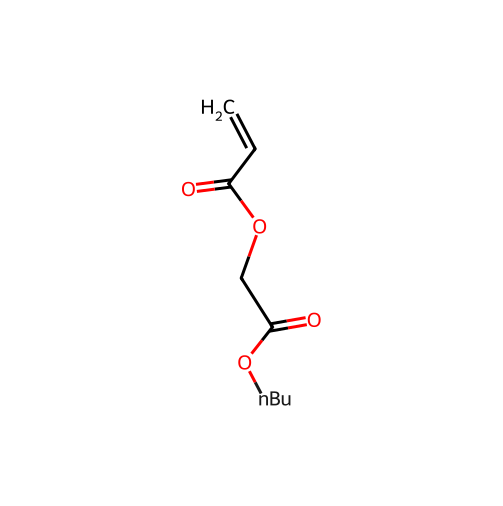 C=CC(=O)OCC(=O)OCCCC